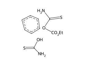 CCOC(=O)OC(N)=S.NC(O)=S.c1ccccc1